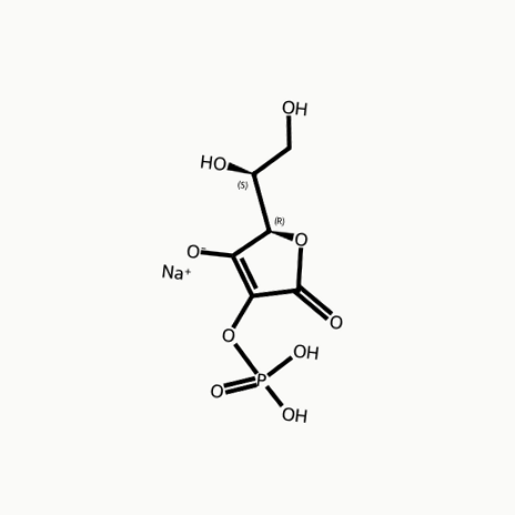 O=C1O[C@H]([C@@H](O)CO)C([O-])=C1OP(=O)(O)O.[Na+]